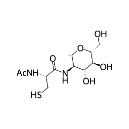 CC(=O)N[C@@H](CS)C(=O)N[C@H]1[CH]O[C@H](CO)[C@@H](O)[C@@H]1O